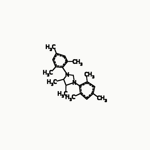 Cc1cc(C)c(N2CN(c3c(C)cc(C)cc3C)C(C)C2C)c(C)c1